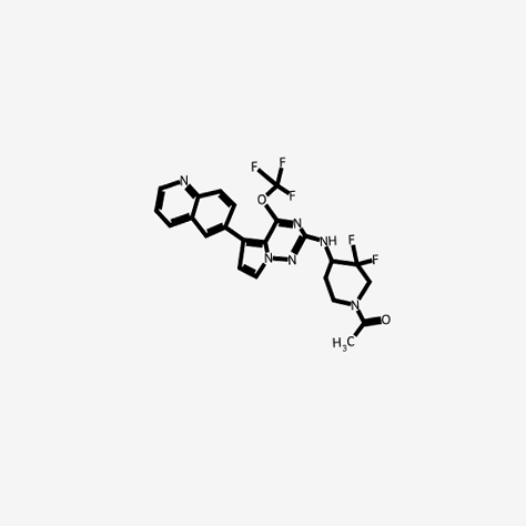 CC(=O)N1CCC(Nc2nc(OC(F)(F)F)c3c(-c4ccc5ncccc5c4)ccn3n2)C(F)(F)C1